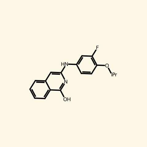 CC(C)Oc1ccc(Nc2cc3ccccc3c(O)n2)cc1F